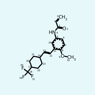 C=CC(=O)Nc1ccc(OC)c(/C=C/C2CCC(C(F)(F)F)CC2)c1